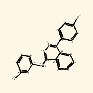 Fc1ccc(-c2nnc(Nc3cccc(Cl)c3)c3ccccc23)cc1